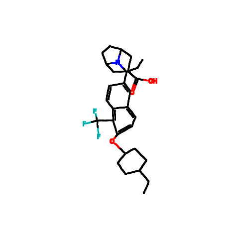 CCC1CCC(Oc2ccc3cc(C(CC)N4C5CCC4CC(C(=O)O)C5)ccc3c2C(F)(F)F)CC1